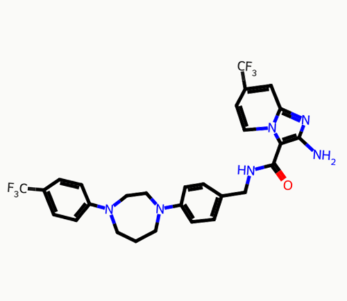 Nc1nc2cc(C(F)(F)F)ccn2c1C(=O)NCc1ccc(N2CCCN(c3ccc(C(F)(F)F)cc3)CC2)cc1